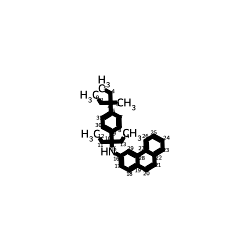 CCC(C)(CC)c1ccc(C(CC)(CC)Nc2ccc3ccc4ccccc4c3c2)cc1